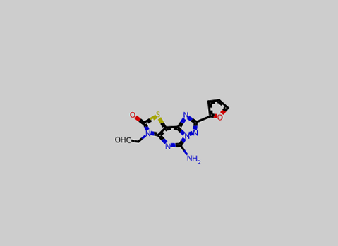 Nc1nc2c(sc(=O)n2CC=O)c2nc(-c3ccco3)nn12